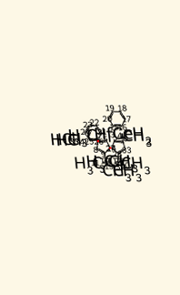 CC1=[C]([Hf](=[GeH2])([C]2=C(C)C=C(C(C)(C)C)C2)([c]2ccccc2)[c]2ccccc2)CC(C(C)(C)C)=C1.Cl.Cl